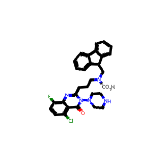 O=C(O)N(CCCc1nc2c(F)ccc(Cl)c2c(=O)n1N1CCNCC1)CC1c2ccccc2-c2ccccc21